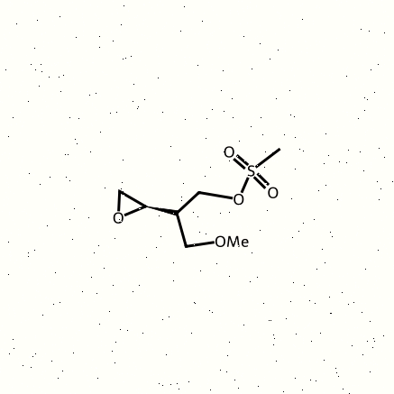 COCC(COS(C)(=O)=O)[C@@H]1CO1